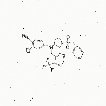 N#Cc1ccc(N(Cc2ccccc2C(F)(F)F)[C@H]2CCN(S(=O)(=O)Cc3ccccc3)C2)cc1Cl